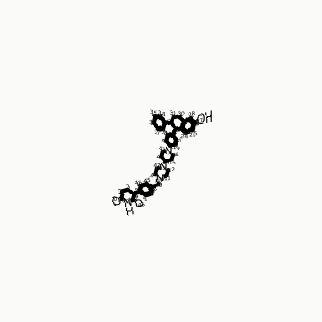 O=C1CCC(c2ccc(CN3CCN(C4CCN(c5ccc(C6c7ccc(O)cc7CCC6c6ccccc6)cc5)CC4)CC3)cc2)C(=O)N1